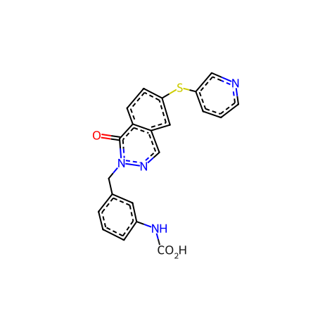 O=C(O)Nc1cccc(Cn2ncc3cc(Sc4cccnc4)ccc3c2=O)c1